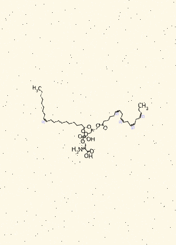 CC/C=C\C/C=C\C/C=C\C/C=C\CCCCC(=O)OC[C@H](COP(=O)(O)OC[C@H](N)C(=O)O)OC(=O)CCCCCCCCC/C=C\CCCCCCCC